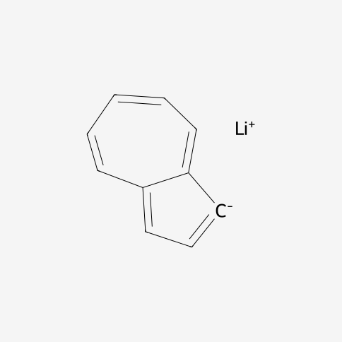 [Li+].[c-]1ccc2cccccc1-2